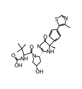 Cc1ncsc1-c1ccc([C@]2(C)NC([C@@H]3C[C@@H](O)CN3C(=O)C(NC(=O)O)C(C)(C)C)=NC2=O)cc1